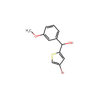 COc1cccc(C(O)c2cc(Br)cs2)c1